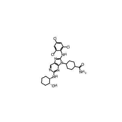 NC(=O)C1CCC(n2c(Nc3c(Cl)cc(Cl)cc3Cl)nc3cnc(N[C@@H]4CCCC[C@H]4O)nc32)CC1